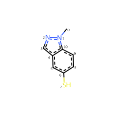 Cn1ncc2cc(S)ccc21